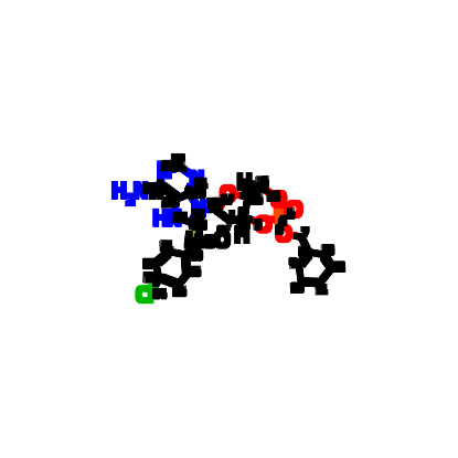 CO[C@H]1[C@H]2O[P@](=O)(OCc3ccccc3)OC[C@H]2O[C@H]1N1c2ncnc(N)c2NC1Sc1ccc(Cl)cc1